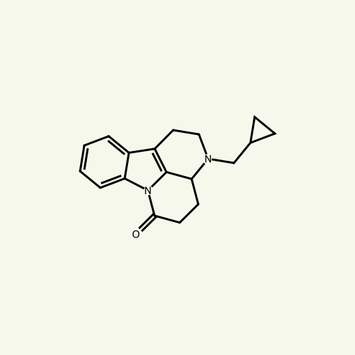 O=C1CCC2c3c(c4ccccc4n31)CCN2CC1CC1